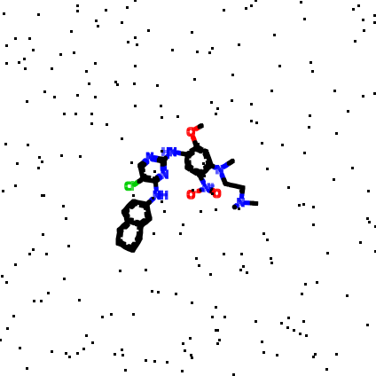 COc1cc(N(C)CCN(C)C)c([N+](=O)[O-])cc1Nc1ncc(Cl)c(Nc2ccc3ccccc3c2)n1